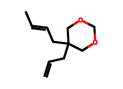 C=CCC1(CC=CC)COCOC1